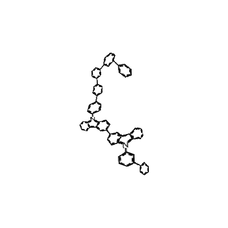 c1ccc(-c2cccc(-c3cccc(-c4ccc(-c5ccc(-n6c7ccccc7c7cc(-c8ccc9c(c8)c8ccccc8n9-c8cccc(-c9ccccc9)c8)ccc76)cc5)cc4)c3)c2)cc1